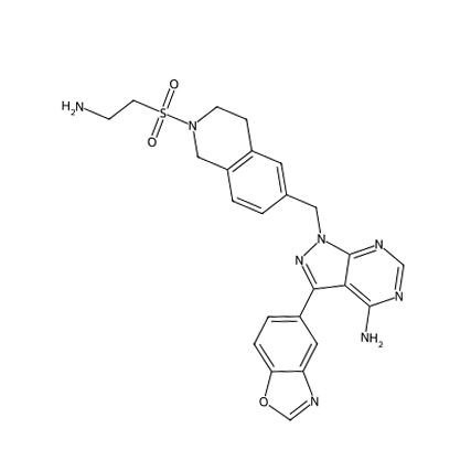 NCCS(=O)(=O)N1CCc2cc(Cn3nc(-c4ccc5ocnc5c4)c4c(N)ncnc43)ccc2C1